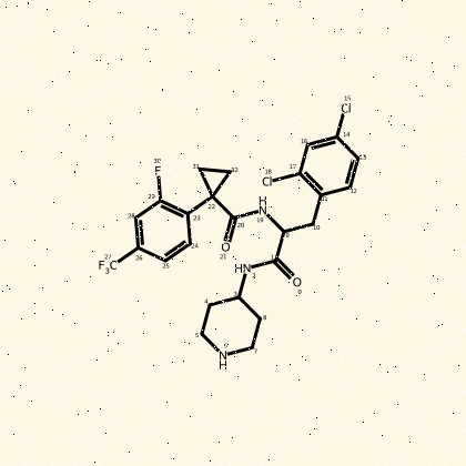 O=C(NC1CCNCC1)C(Cc1ccc(Cl)cc1Cl)NC(=O)C1(c2ccc(C(F)(F)F)cc2F)CC1